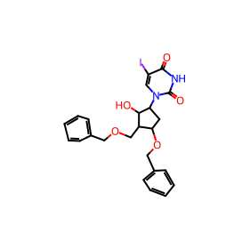 O=c1[nH]c(=O)n(C2CC(OCc3ccccc3)C(COCc3ccccc3)C2O)cc1I